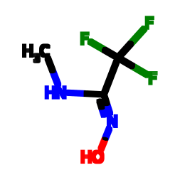 CN/C(=N\O)C(F)(F)F